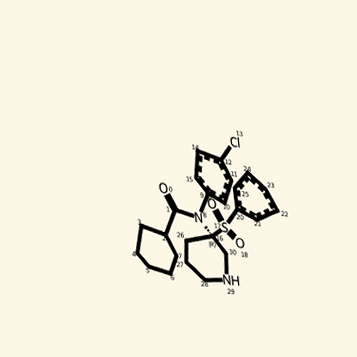 O=C(C1CCCCC1)N(c1ccc(Cl)cc1)[C@@]1(S(=O)(=O)c2ccccc2)CCCNC1